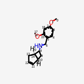 COc1ccc(CN[C@H]2C[C@@H]3C=CC[C@@H]23)c(OC)c1